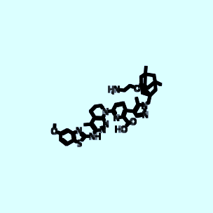 CNCCOC12CC3(C)CC(C)(CC(Cn4ncc(-c5ccc(N6CCCc7c6nnc(Nc6nc8cc(OC)ccc8s6)c7C)nc5C(=O)O)c4C)(C3)C1)C2